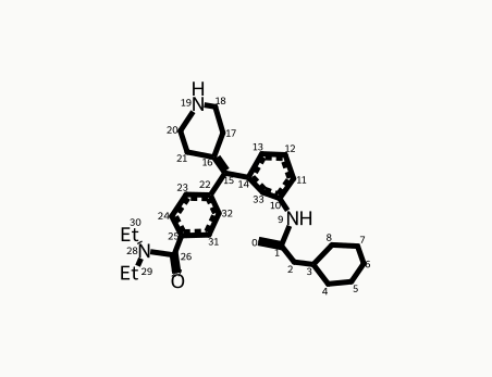 C=C(CC1CCCCC1)Nc1cccc(C(=C2CCNCC2)c2ccc(C(=O)N(CC)CC)cc2)c1